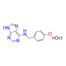 CCCCCCCCOc1ccc(CNc2ncnc3[nH]cnc23)cc1